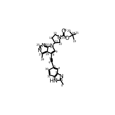 Cc1nc2cc(C#Cc3cn(C4CCN(C(=O)OC(C)(C)C)C4)c4ncnc(C)c34)ccc2[nH]1